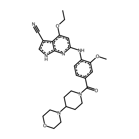 CCOc1cc(Nc2ccc(C(=O)N3CCC(N4CCOCC4)CC3)cc2OC)nc2[nH]cc(C#N)c12